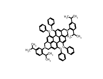 CC(C)c1ccc(C(C)C)c(N2Cc3cc(Oc4ccccc4)c4c5c(Oc6ccccc6)cc6c7c(cc(Oc8ccccc8)c(c8c(Oc9ccccc9)cc(c3c48)C2)c75)CN(c2cc(C(C)C)ccc2C(C)C)C6)c1